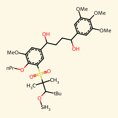 CCCOc1c(OC)cc(C(O)CCC(O)c2cc(OC)c(OC)c(OC)c2)cc1S(=O)(=O)C(C)(C)C(O[SiH3])C(C)(C)C